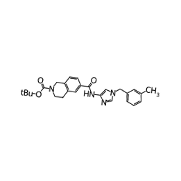 Cc1cccc(Cn2cnc(NC(=O)c3ccc4c(c3)CCN(C(=O)OC(C)(C)C)C4)c2)c1